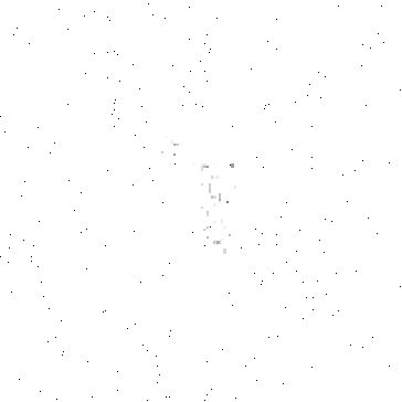 Cc1ccc(Nc2ncc(C3CC3)c(NCCC(N)=O)n2)cn1